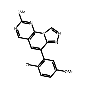 COc1ccc(Cl)c(-c2cc3cnc(SC)nc3n3cnnc23)c1